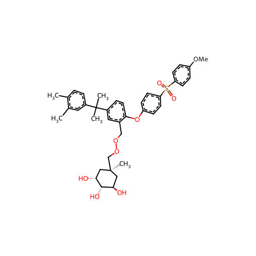 COc1ccc(S(=O)(=O)c2ccc(Oc3ccc(C(C)(C)c4ccc(C)c(C)c4)cc3COOC[C@]3(C)C[C@@H](O)[C@@H](O)[C@H](O)C3)cc2)cc1